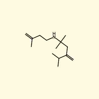 C=C(C)CCNC(C)(C)CC(=C)C(C)C